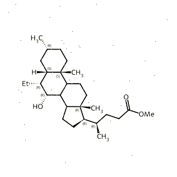 CC[C@H]1[C@@H](O)C2C3CC[C@H]([C@H](C)CCC(=O)OC)[C@@]3(C)CCC2[C@@]2(C)CC[C@@H](C)C[C@@H]12